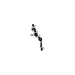 C=CC(=O)OCCCCOc1ccc(C(=O)Oc2ccc(OC(=O)c3ccc(OC(=O)C=C)c(C)n3)c(C#N)c2)cc1